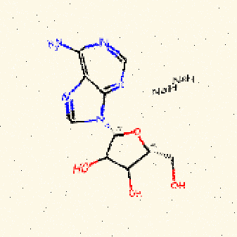 Nc1ncnc2c1ncn2[C@@H]1O[C@H](CO)C(O)C1O.[NaH].[NaH]